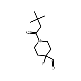 CC(C)(C)CC(=O)N1CCC(F)(C=O)CC1